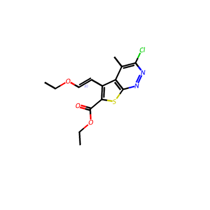 CCO/C=C/c1c(C(=O)OCC)sc2nnc(Cl)c(C)c12